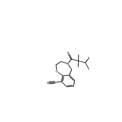 CC(C)(C(=O)N1CCOc2c(C#N)cccc2C1)C(F)F